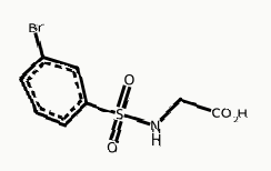 O=C(O)CNS(=O)(=O)c1cccc(Br)c1